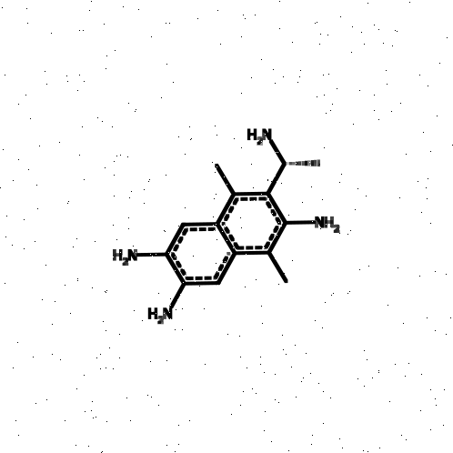 Cc1c(N)c([C@@H](C)N)c(C)c2cc(N)c(N)cc12